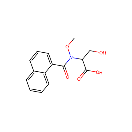 CON(C(=O)c1cccc2ccccc12)C(CO)C(=O)O